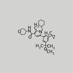 COC(C)(C)c1cc(-c2cc(C(=O)NC3CCOCC3)c(C)n2CC2CCCCC2)cc(C2(C)CC2)c1